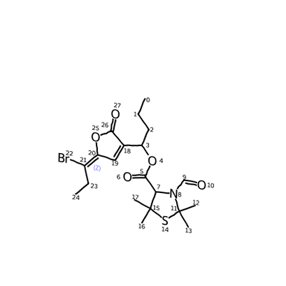 CCCC(OC(=O)C1N(C=O)C(C)(C)SC1(C)C)C1=C/C(=C(/Br)CC)OC1=O